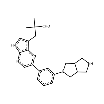 CC(C)(C=O)Cc1c[nH]c2ncc(-c3cccc(N4CC5CNCC5C4)c3)nc12